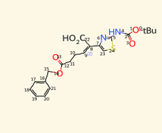 CC(C)(C)OC(=O)Nc1nc(/C(=C/CCC(=O)OCc2ccccc2)C(=O)O)cs1